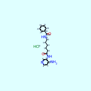 Cl.Nc1ccncc1NC(=O)CCCCCNC(=O)c1ccccc1